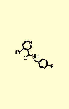 CC(C)c1ccncc1C(=O)NCc1ccc(F)cc1